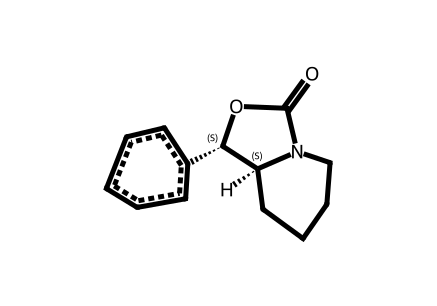 O=C1O[C@@H](c2ccccc2)[C@@H]2CCCCN12